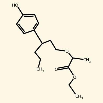 CCCC(CCOC(C)C(=O)OCC)c1ccc(O)cc1